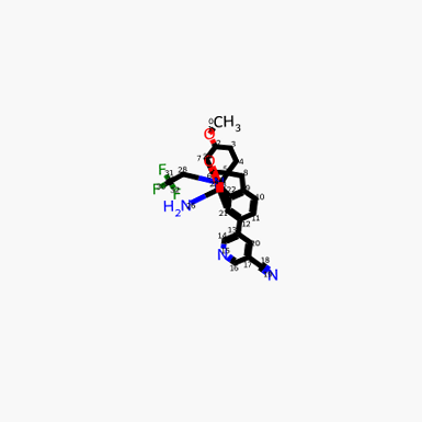 COC1CCC2(CC1)Cc1ccc(-c3cncc(C#N)c3)cc1C21N=C(N)N(CC(F)(F)F)C1=O